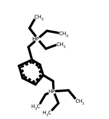 CC[PH](CC)(CC)Cc1cccc(C[PH](CC)(CC)CC)c1